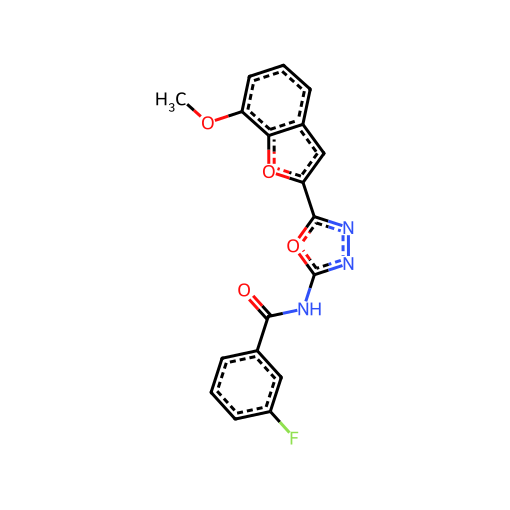 COc1cccc2cc(-c3nnc(NC(=O)c4cccc(F)c4)o3)oc12